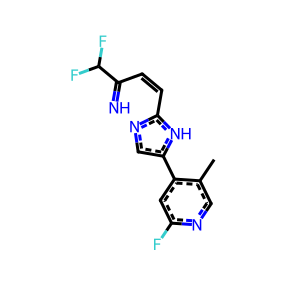 Cc1cnc(F)cc1-c1cnc(/C=C\C(=N)C(F)F)[nH]1